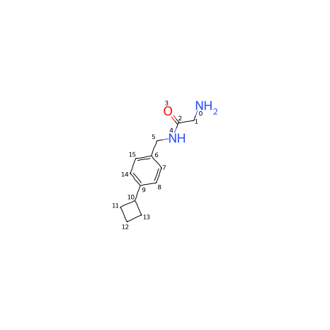 NCC(=O)NCc1ccc(C2CCC2)cc1